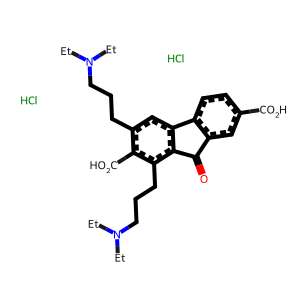 CCN(CC)CCCc1cc2c(c(CCCN(CC)CC)c1C(=O)O)C(=O)c1cc(C(=O)O)ccc1-2.Cl.Cl